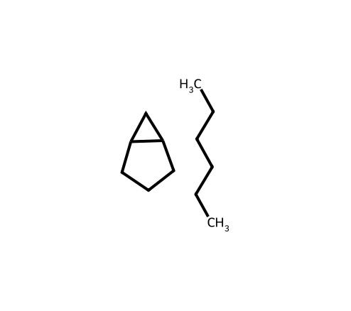 C1CC2CC2C1.CCCCCC